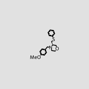 COc1ccc(CN2CCOC[C@@H]2CSc2ccccc2)cc1